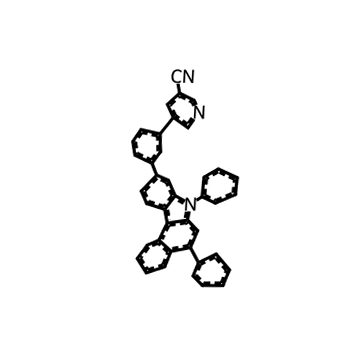 N#Cc1cncc(-c2cccc(-c3ccc4c5c6ccccc6c(-c6ccccc6)cc5n(-c5ccccc5)c4c3)c2)c1